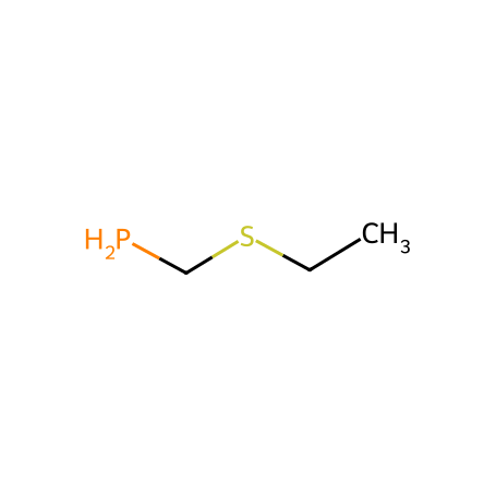 CCSCP